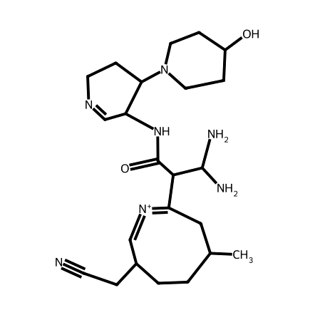 CC1CCC(CC#N)C=[N+]=C(C(C(=O)NC2C=NCCC2N2CCC(O)CC2)C(N)N)C1